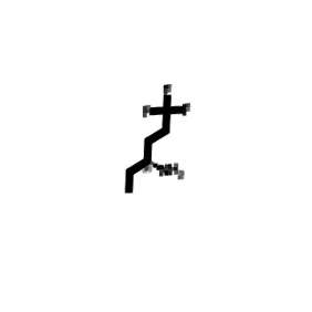 CC[C@@H](N)CCC(F)(F)F